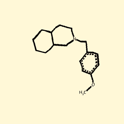 COc1ccc(CN2CCC3CCCCC3C2)cc1